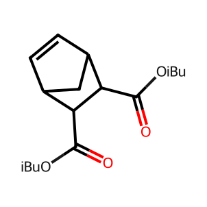 CC(C)COC(=O)C1C2C=CC(C2)C1C(=O)OCC(C)C